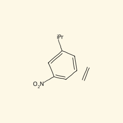 C=C.CC(C)c1cccc([N+](=O)[O-])c1